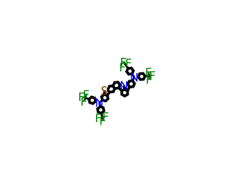 FC(F)(F)c1ccc(N(c2ccc(C(F)(F)F)cc2)c2ccc3c(c2)sc2cc4ccc5c(c4cc23)c2cccc3c4ccc(N(c6ccc(C(F)(F)F)cc6)c6ccc(C(F)(F)F)cc6)cc4n5c32)cc1